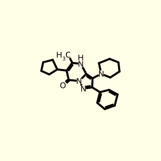 Cc1[nH]c2c(N3CCCCC3)c(-c3ccccc3)nn2c(=O)c1C1CCCC1